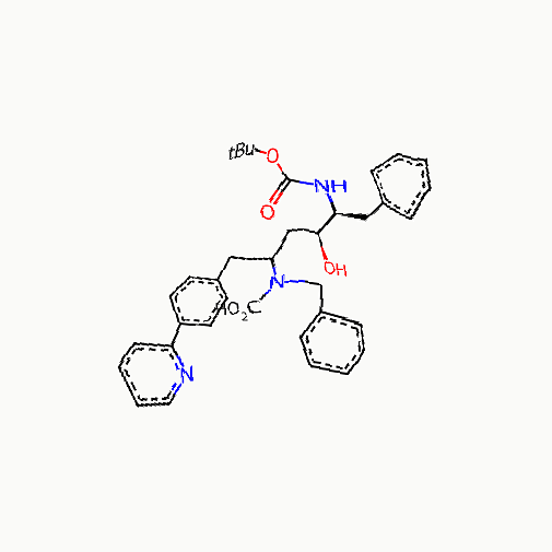 CC(C)(C)OC(=O)N[C@@H](Cc1ccccc1)[C@@H](O)CC(Cc1ccc(-c2ccccn2)cc1)N(Cc1ccccc1)C(=O)O